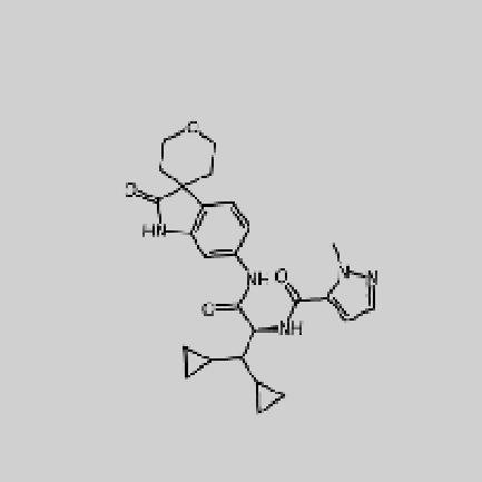 Cn1nccc1C(=O)N[C@H](C(=O)Nc1ccc2c(c1)NC(=O)C21CCOCC1)C(C1CC1)C1CC1